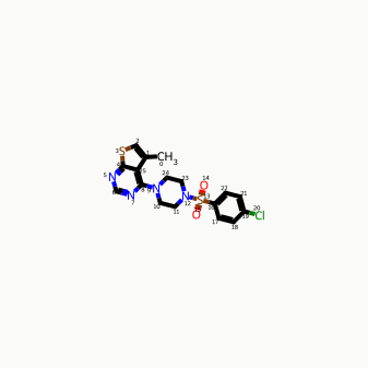 Cc1csc2ncnc(N3CCN(S(=O)(=O)c4ccc(Cl)cc4)CC3)c12